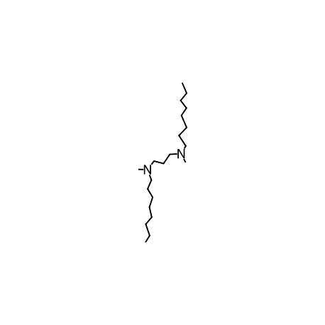 CCCCCCCCN(C)CCCN(C)CCCCCCCC